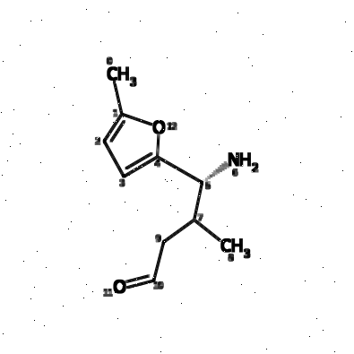 Cc1ccc([C@H](N)C(C)CC=O)o1